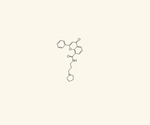 O=C(NCCCN1CCCC1)c1cccc2c(=O)cc(-c3ccccc3)oc12